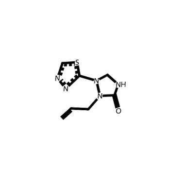 C=CCN1C(=O)NCN1c1nncs1